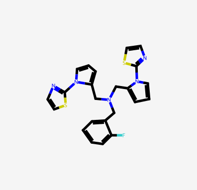 Fc1ccccc1CN(Cc1cccn1-c1nccs1)Cc1cccn1-c1nccs1